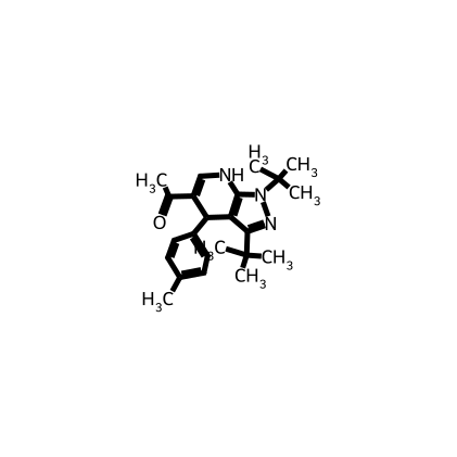 CC(=O)C1=CNc2c(c(C(C)(C)C)nn2C(C)(C)C)C1c1ccc(C)cc1